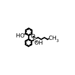 CCCCCP(=O)(O)c1ccccc1-c1ccccc1O